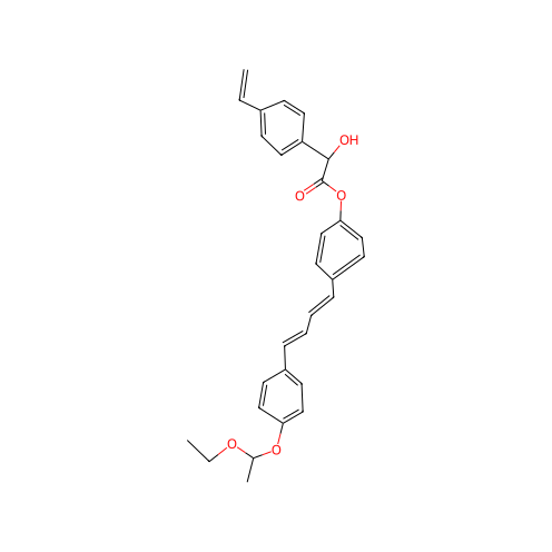 C=Cc1ccc(C(O)C(=O)Oc2ccc(C=CC=Cc3ccc(OC(C)OCC)cc3)cc2)cc1